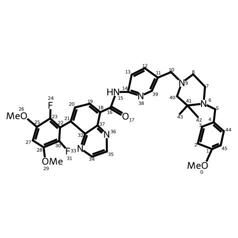 COc1ccc(CN2CCN(Cc3ccc(NC(=O)c4ccc(-c5c(F)c(OC)cc(OC)c5F)c5nccnc45)nc3)CC2(C)C)cc1